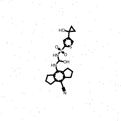 N#Cc1c2c(c(NC(O)NS(=O)(=O)c3cc(C4(O)CC4)cs3)c3c1CCC3)CCC2